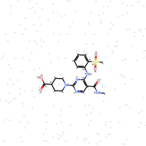 CNC(=O)c1cnc(N2CCC(C(=O)O)CC2)nc1Nc1ccccc1S(C)(=O)=O